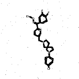 CCO/N=C(\c1ccc(F)c(F)c1)c1ccc(CN2CCC3(CCN(c4ccc(Cl)cc4)C3)C2)cn1